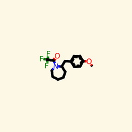 COc1ccc(CC2CCCCCN2C(=O)C(F)(F)F)cc1